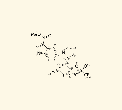 COC(=O)c1cnn2ccc(N3CCC[C@@H]3c3cc(F)cnc3OS(=O)(=O)C(F)(F)F)nc12